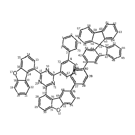 c1ccc(-c2cccc(-c3nc(-c4cccc5oc6ccccc6c45)nc(-c4cccc5oc6ccc(-c7ccc(-c8ccc9c(c8)-c8ccccc8C98c9ccccc9-c9ccccc98)cc7)cc6c45)n3)c2)cc1